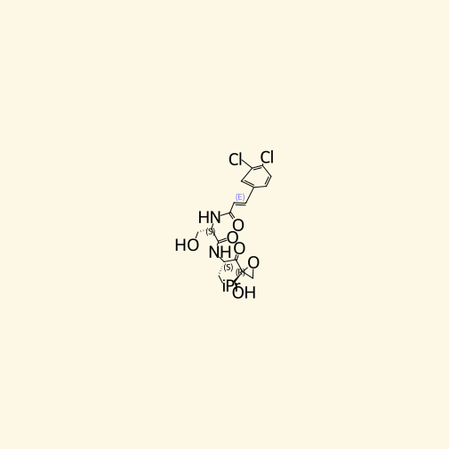 CC(C)C[C@H](NC(=O)[C@H](CO)NC(=O)/C=C/c1ccc(Cl)c(Cl)c1)C(=O)[C@@]1(CO)CO1